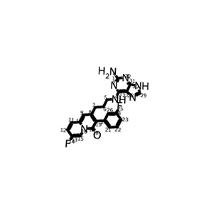 Nc1nc(NCCCc2cc3ccc(F)cn3c(=O)c2-c2cccc(F)c2)c2nc[nH]c2n1